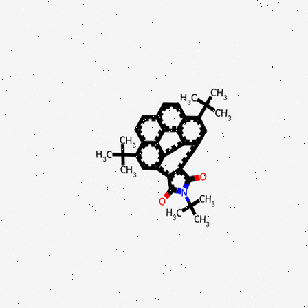 CC(C)(C)c1cc2c3c(=O)n(C(C)(C)C)c(=O)c3c3cc(C(C)(C)C)c4ccc5ccc1c1c5c4c3c21